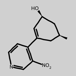 C[C@H]1CC(c2ccncc2[N+](=O)[O-])=C[C@@H](O)C1